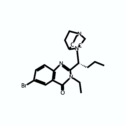 CCC[C@H](c1nc2ccc(Br)cc2c(=O)n1CC)N1CCN2CCC1CC2